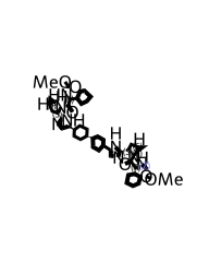 COO/C=N\[C@@H](C(=O)N1[C@H](c2ncc(-c3ccc([C@H]4CC[C@H](c5cnc([C@@H]6C[C@@H]7C[C@@H]7N6C(=O)[C@H](NC(=O)OC)c6ccccc6)[nH]5)CC4)cc3)[nH]2)C[C@@H]2C[C@@H]21)c1ccccc1